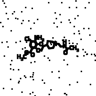 COC(=O)c1cc(Cl)c(N)c2c1OCC(C1CCN(CCNC(C)=O)CC1)O2